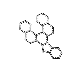 c1ccc2c(c1)ccc1c2c2c3ccccc3ccc2n2c3ccccc3nc12